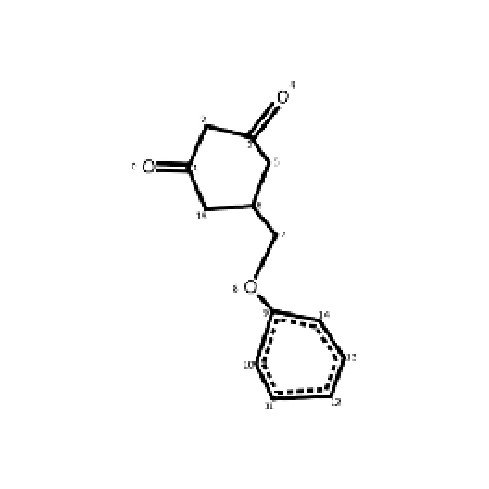 O=C1CC(=O)CC(COc2ccccc2)C1